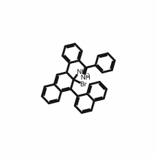 N=C(c1ccccc1)c1ccccc1C1C=c2ccccc2=C(c2cccc3ccccc23)C1(N)Br